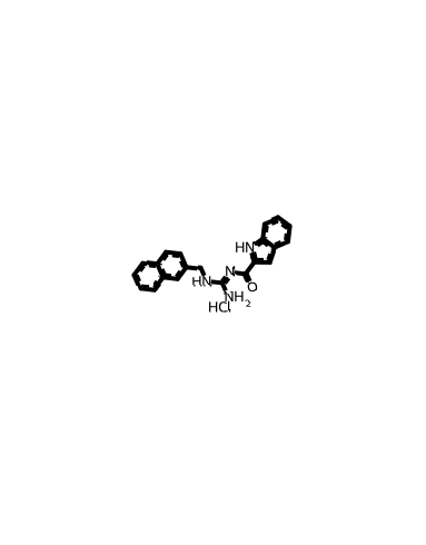 Cl.NC(=NC(=O)c1cc2ccccc2[nH]1)NCc1ccc2ccccc2c1